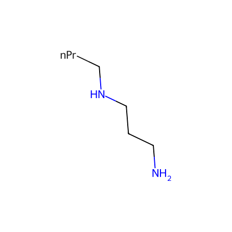 CCCCNCCCN